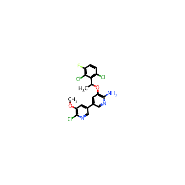 COc1cc(-c2cnc(N)c(OC(C)c3c(Cl)ccc(F)c3Cl)c2)cnc1Cl